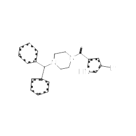 O=C(c1cc(Br)c[nH]1)N1CCN(C(c2ccccc2)c2ccccc2)CC1